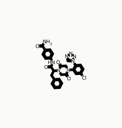 NC(=O)c1ccc(NC(=O)C(Cc2ccccc2)N2CC(=O)N(c3cc(Cl)ccc3-n3cnnn3)CC2=O)cc1